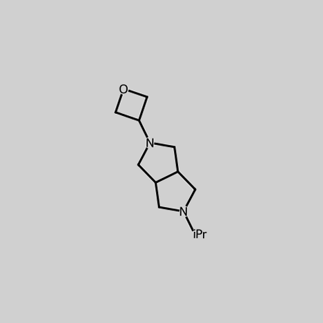 CC(C)N1CC2CN(C3COC3)CC2C1